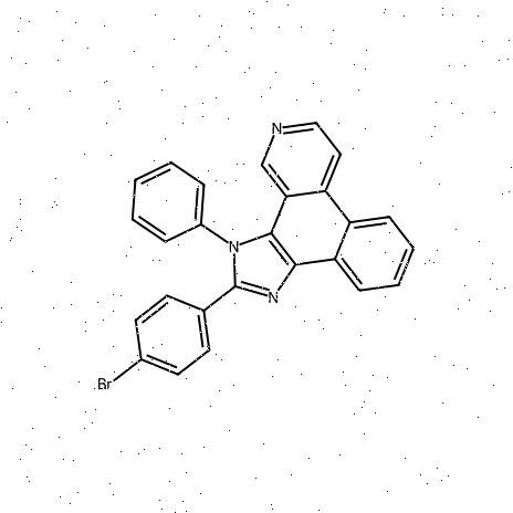 Brc1ccc(-c2nc3c4ccccc4c4ccncc4c3n2-c2ccccc2)cc1